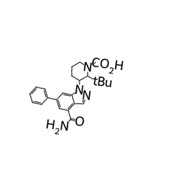 CC(C)(C)C1C(n2ncc3c(C(N)=O)cc(-c4ccccc4)cc32)CCCN1C(=O)O